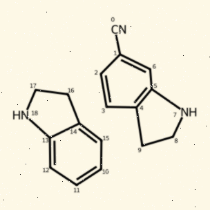 N#Cc1ccc2c(c1)NCC2.c1ccc2c(c1)CCN2